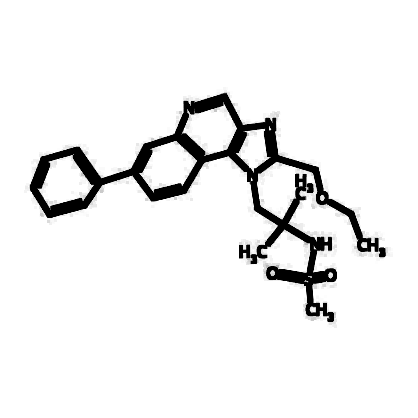 CCOCc1nc2cnc3cc(-c4ccccc4)ccc3c2n1CC(C)(C)NS(C)(=O)=O